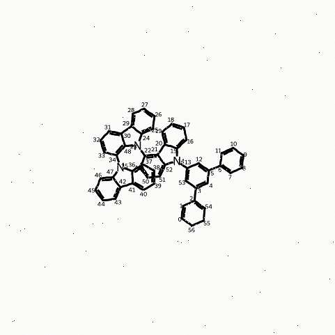 C1=CC(c2cc(-c3ccccc3)cc(-n3c4ccccc4c4c(-n5c6ccccc6c6cccc(-n7c8ccccc8c8ccccc87)c65)cccc43)c2)=CCC1